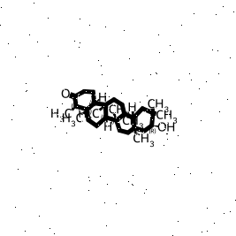 C[C@H]1C(=O)CC[C@@H]2[C@]1(C)CC[C@H]1[C@@]2(C)CC[C@@]2(C)[C@@H]3CC(C)(C)[C@H](O)C[C@]3(C)CC[C@]12C